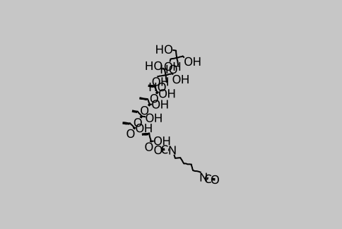 C=CC(=O)O.C=CC(=O)O.C=CC(=O)O.C=CC(=O)O.C=CC(=O)O.O=C=NCCCCCCN=C=O.OCC(CO)(CO)CO.OCC(CO)(CO)CO